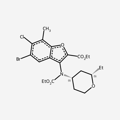 CCOC(=O)c1oc2c(C)c(Cl)c(Br)cc2c1N(C(=O)OCC)[C@H]1CCO[C@@H](CC)C1